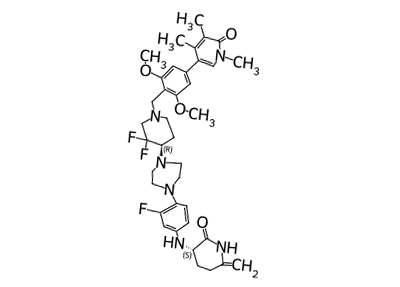 C=C1CC[C@H](Nc2ccc(N3CCN([C@@H]4CCN(Cc5c(OC)cc(-c6cn(C)c(=O)c(C)c6C)cc5OC)CC4(F)F)CC3)c(F)c2)C(=O)N1